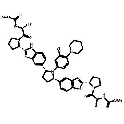 COC(=O)NC(C(=O)N1CCC[C@H]1c1nc2cc([C@H]3CC[C@H](c4ccc5[nH]c([C@@H]6CCCN6C(=O)[C@@H](NC(=O)OC)C(C)C)nc5c4)N3c3ccc(N4CCCCC4)c(Cl)c3)ccc2[nH]1)C(C)C